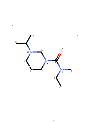 CCN(C)C(=O)N1CCCN(C(C)C)C1